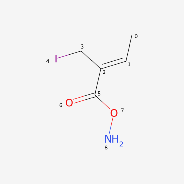 C/C=C(\CI)C(=O)ON